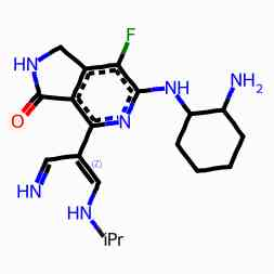 CC(C)N/C=C(\C=N)c1nc(NC2CCCCC2N)c(F)c2c1C(=O)NC2